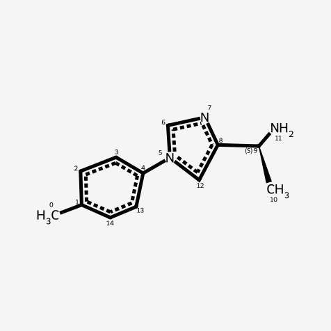 Cc1ccc(-n2cnc([C@H](C)N)c2)cc1